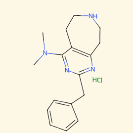 CN(C)c1nc(Cc2ccccc2)nc2c1CCNCC2.Cl